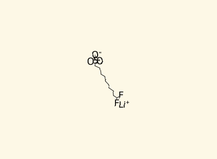 O=S(=O)([O-])CCCCCCCCCC(F)F.[Li+]